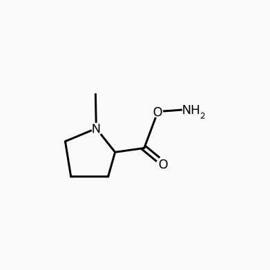 CN1CCCC1C(=O)ON